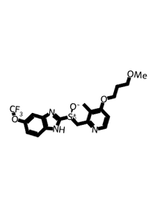 COCCCOc1ccnc(C[S@@+]([O-])c2nc3cc(OC(F)(F)F)ccc3[nH]2)c1C